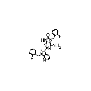 Nc1nc(-c2nn(Cc3ccccc3F)c3ncccc23)nc2[nH]c(=O)n(Cc3ccccc3F)c12